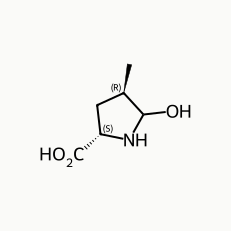 C[C@@H]1C[C@@H](C(=O)O)NC1O